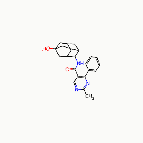 Cc1ncc(C(=O)NC2C3CC4CC2CC(O)(C4)C3)c(-c2ccccc2)n1